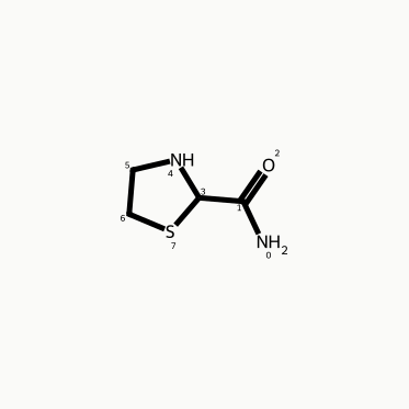 NC(=O)C1NCCS1